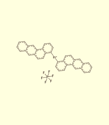 F[P-](F)(F)(F)(F)F.c1ccc2cc3c(ccc4[c]([In+][c]5cccc6c5ccc5cc7ccccc7cc56)cccc43)cc2c1